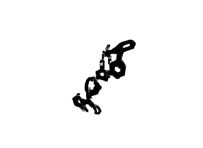 O=C(c1nccs1)N1CCN(C2CC(=O)N(c3cccc(-c4ccccc4C(F)(F)F)c3)C2)CC1